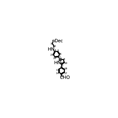 CCCCCCCCCCCCNc1ccc(N2CC=C(c3ccc(C=O)cc3)N2)cc1